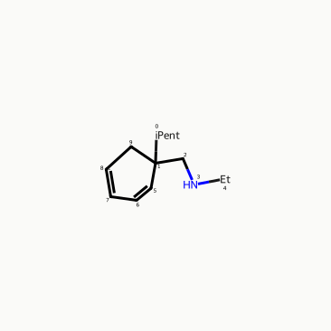 CCCC(C)C1(CNCC)C=CC=[C]C1